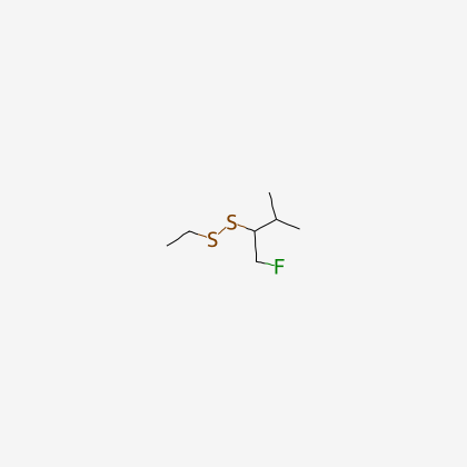 CCSSC(CF)C(C)C